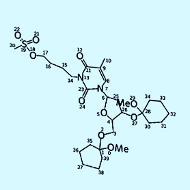 COC1(OCC2OC(n3cc(C)c(=O)n(CCCCOS(C)(=O)=O)c3=O)CC2OC2(OC)CCCCC2)CCCCC1